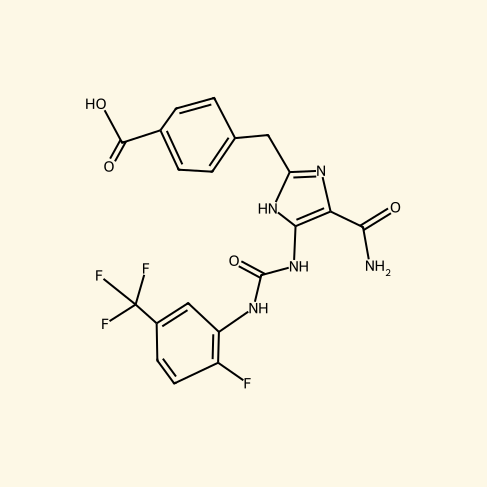 NC(=O)c1nc(Cc2ccc(C(=O)O)cc2)[nH]c1NC(=O)Nc1cc(C(F)(F)F)ccc1F